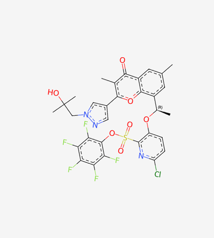 Cc1cc([C@@H](C)Oc2ccc(Cl)nc2S(=O)(=O)Oc2c(F)c(F)c(F)c(F)c2F)c2oc(-c3cnn(CC(C)(C)O)c3)c(C)c(=O)c2c1